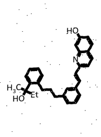 CCC(C)(O)c1ccccc1CCCc1cccc(/C=C/c2ccc3ccc(O)cc3n2)c1